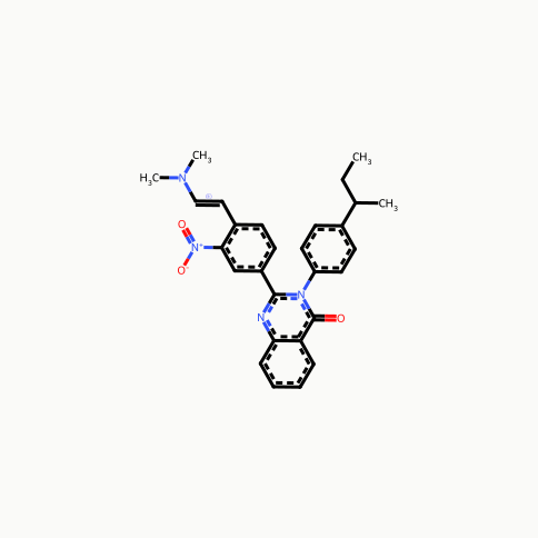 CCC(C)c1ccc(-n2c(-c3ccc(/C=C/N(C)C)c([N+](=O)[O-])c3)nc3ccccc3c2=O)cc1